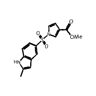 COC(=O)c1ccn(S(=O)(=O)c2ccc3[nH]c(C)cc3c2)c1